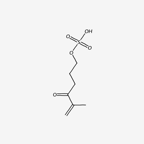 C=C(C)C(=O)CCCOS(=O)(=O)O